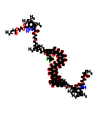 C=CC(=O)OCCOC(=O)NC1CC(C)(C)CC(C)(CNC(=O)OCCOCCC[Si](C)(C)CCCCO[Si](C)(CCC(F)(F)F)O[SiH2][Si](=O)[Si](=O)[Si](=O)[Si](=O)[Si](=O)[Si](=O)[Si](=O)[Si](=O)[Si](=O)[Si](=O)[Si](=O)[Si](=O)[Si](=O)[Si](=O)[Si](=O)[Si](=O)[Si](=O)[Si](=O)[Si](=O)[Si](=O)[Si](=O)[Si](=O)[Si](=O)[Si](=O)[Si](=O)[Si](=O)[Si](=O)[Si](C)(C)O[Si](C)(C)CCCOCCC(=O)C2(C)CC(NC(=O)OCCOC(=O)C=C)CC(C)(C)C2)C1